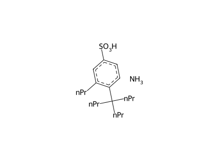 CCCc1cc(S(=O)(=O)O)ccc1C(CCC)(CCC)CCC.N